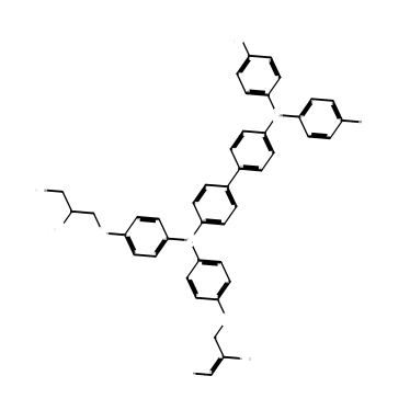 Cc1ccc(N(c2ccc(C)cc2)c2ccc(-c3ccc(N(c4ccc(OC/C(O)=C\O)cc4)c4ccc(OCC(O)CO)cc4)cc3)cc2)cc1